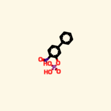 O=Ic1ccc(-c2ccccc2)cc1OP(=O)(O)O